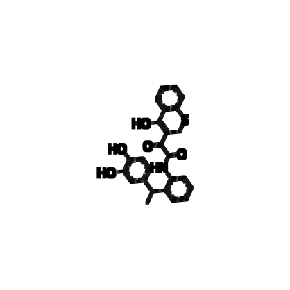 CC(c1ccc(O)c(O)c1)c1ccccc1NC(=O)C(=O)C1=C(O)c2ccccc2SC1